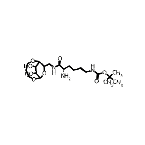 CC(C)(C)OC(=O)NCCCC[C@H](N)C(=O)NCC1OC2OCCCOC1C(O)C2O